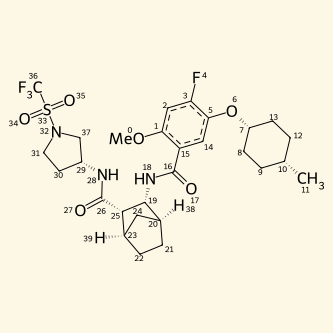 COc1cc(F)c(O[C@H]2CC[C@@H](C)CC2)cc1C(=O)N[C@@H]1[C@H]2CC[C@H](C2)[C@@H]1C(=O)N[C@@H]1CCN(S(=O)(=O)C(F)(F)F)C1